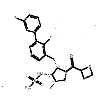 CS(=O)(=O)N[C@H]1[C@@H](F)CN(C(=O)C2CCO2)[C@H]1Cc1cccc(-c2cccc(F)c2)c1F